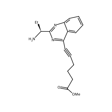 CC[C@H](N)c1nc(C#CCCCC(=O)OC)c2ccccc2n1